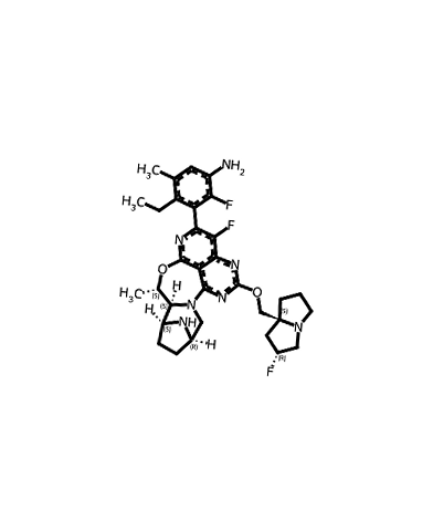 CCc1c(C)cc(N)c(F)c1-c1nc2c3c(nc(OC[C@@]45CCCN4C[C@H](F)C5)nc3c1F)N1C[C@H]3CC[C@H](N3)[C@H]1[C@H](C)O2